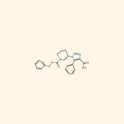 O=C(O)c1ncn(C2CCCN(C(=O)OCc3ccccc3)C2)c1-c1ccccc1